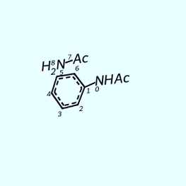 CC(=O)Nc1ccccc1.CC(N)=O